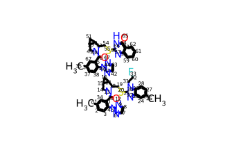 Cc1ccc(-n2nccn2)c(C(=O)N2CC3CC3C2CSc2nc3cc(C)ccc3n2CCF)c1.Cc1ccc(-n2nccn2)c(C(=O)N2CC3CC3C2CSc2nc3ccccc3c(=O)[nH]2)c1